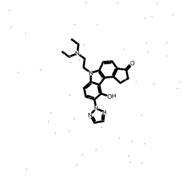 CCN(CC)CCn1c2ccc(-n3nccn3)c(O)c2c2c3c(ccc21)C(=O)CC3